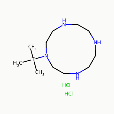 Cl.Cl.[CH3][Ti]([CH3])([N]1CCNCCNCCNCC1)[C](F)(F)F